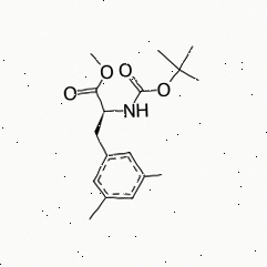 COC(=O)[C@H](Cc1cc(C)cc(C)c1)NC(=O)OC(C)(C)C